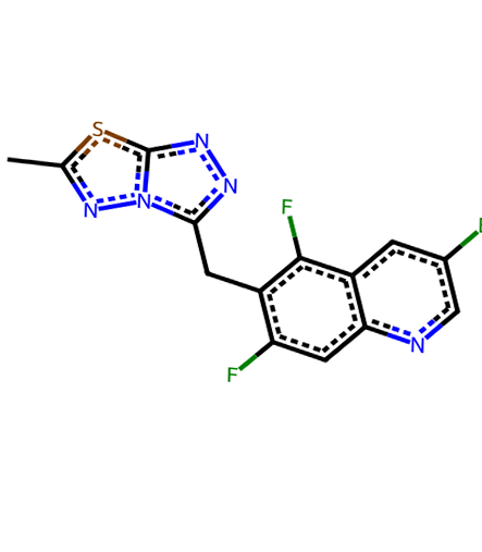 Cc1nn2c(Cc3c(F)cc4ncc(Br)cc4c3F)nnc2s1